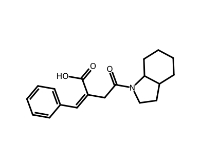 O=C(O)C(=Cc1ccccc1)CC(=O)N1CCC2CCCCC21